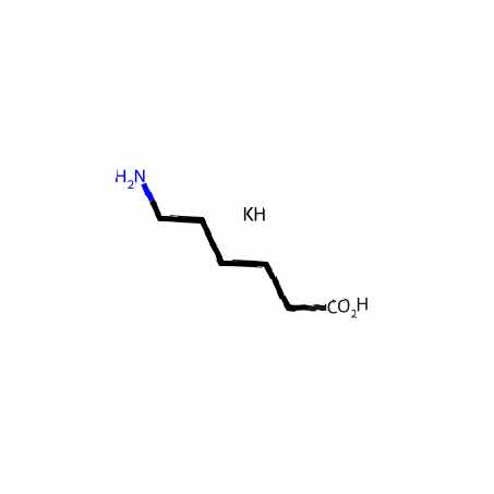 NCCCCCC(=O)O.[KH]